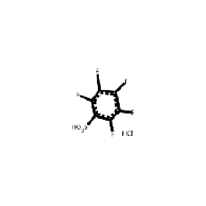 Cl.O=S(=O)(O)c1c(F)c(F)c(F)c(F)c1F